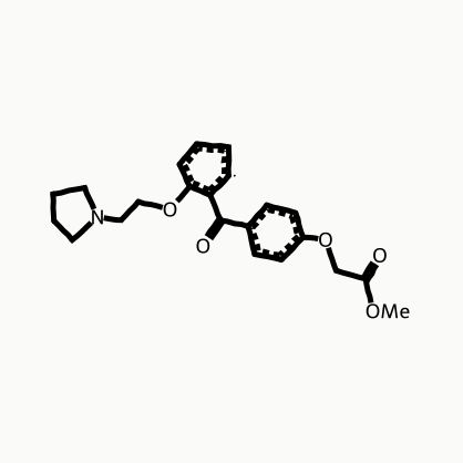 COC(=O)COc1ccc(C(=O)c2[c]cccc2OCCN2CCCC2)cc1